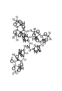 COC1C2OC(C)(C)O[C@H]2OC(Cn2cc(CN(Cc3cn(CC4O[C@@H]5OC(C)(C)OC5C5OC(C)(C)O[C@@H]45)nn3)Cc3cn(CC4O[C@@H]5OC(C)(C)OC5C5OC(C)(C)O[C@@H]45)nn3)nn2)[C@@H]1OC